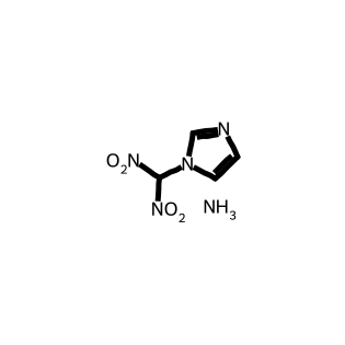 N.O=[N+]([O-])C(n1ccnc1)[N+](=O)[O-]